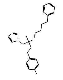 CC(CCc1ccc(F)cc1)(Cn1ccnc1)SCCCCc1ccccc1